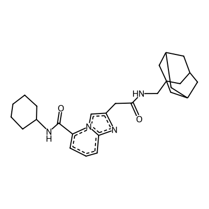 O=C(Cc1cn2c(C(=O)NC3CCCCC3)cccc2n1)NCC12CC3CC(CC(C3)C1)C2